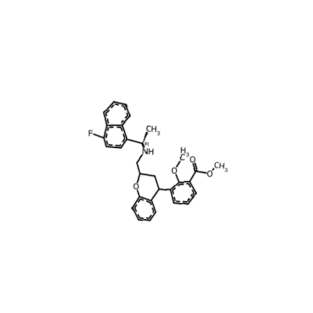 COC(=O)c1cccc(C2CC(CN[C@H](C)c3ccc(F)c4ccccc34)Oc3ccccc32)c1OC